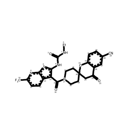 CCNC(=O)Nc1sc2nc(C(F)(F)F)ccc2c1C(=O)N1CCC2(CC1)CC(=O)c1cc(C#N)ccc1O2